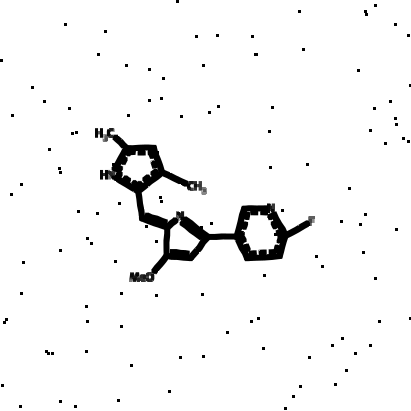 COC1=CC(c2ccc(F)nc2)=NC1=Cc1[nH]c(C)cc1C